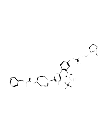 CN1CCC[C@@H]1COC(=O)Nc1ccc(-c2cnc(N3CCC(OC(=O)NCc4ccccc4)CC3)s2)c(S(=O)(=O)NC(C)(C)C)c1